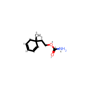 CC1(CCOC(N)=O)C=CC=CC1